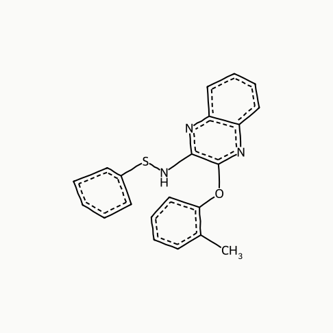 Cc1ccccc1Oc1nc2ccccc2nc1NSc1ccccc1